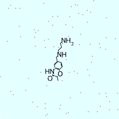 CC1Oc2ccc(CNCCCN)cc2NC1=O